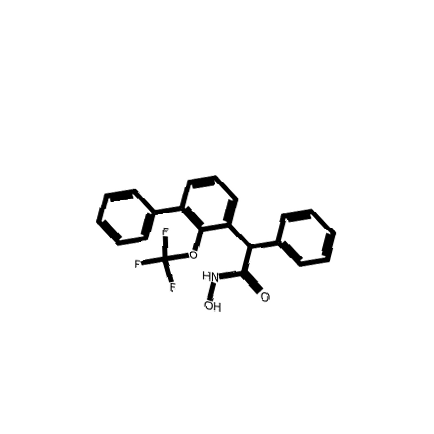 O=C(NO)C(c1ccccc1)c1cccc(-c2ccccc2)c1OC(F)(F)F